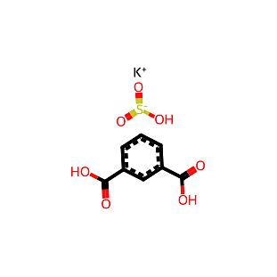 O=C(O)c1cccc(C(=O)O)c1.O=[S-](=O)O.[K+]